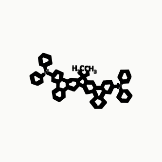 CCC1(CC)c2cc3c4ccc(N(c5ccccc5)c5ccccc5)cc4c4ccccc4c3cc2-c2cc3c4ccccc4c4cc(N(c5ccccc5)c5ccccc5)ccc4c3cc21